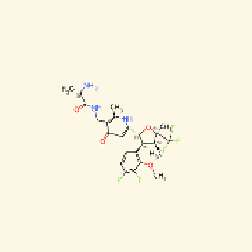 COc1c([C@H]2[C@H](c3cc(=O)c(CNC(=O)[C@H](C)N)c(C)[nH]3)O[C@@](C)(C(F)(F)F)[C@H]2C)ccc(F)c1F